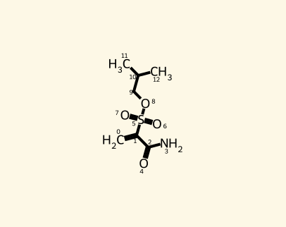 C=C(C(N)=O)S(=O)(=O)OCC(C)C